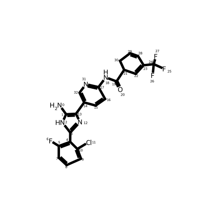 Nc1[nH]c(-c2c(F)cccc2Cl)nc1-c1ccc(NC(=O)C2C=C(C(F)(F)F)C=CC2)nc1